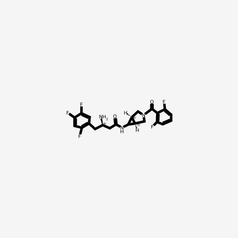 N[C@@H](CC(=O)NC1[C@H]2CN(C(=O)c3c(F)cccc3F)C[C@@H]12)Cc1cc(F)c(F)cc1F